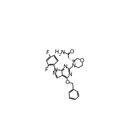 NC(=O)C[C@@H]1COCCN1c1nc(OCc2ccccc2)c2cnn(-c3ccc(F)cc3F)c2n1